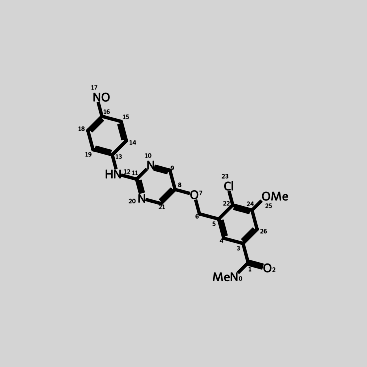 CNC(=O)c1cc(COc2cnc(Nc3ccc(N=O)cc3)nc2)c(Cl)c(OC)c1